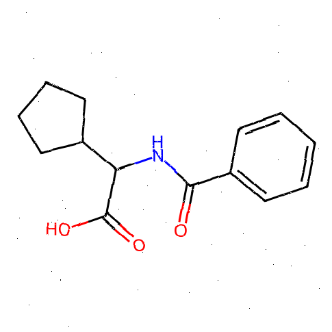 O=C(NC(C(=O)O)C1CCCC1)c1ccccc1